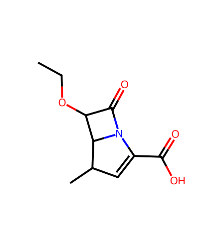 CCOC1C(=O)N2C(C(=O)O)=CC(C)C12